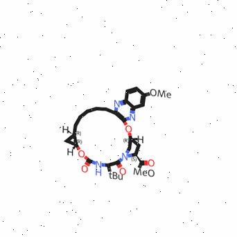 COC(=O)[C@@H]1C[C@@H]2CN1C(=O)C(C(C)(C)C)NC(=O)O[C@@H]1C[C@H]1CCCCCc1nc3ccc(OC)cc3nc1O2